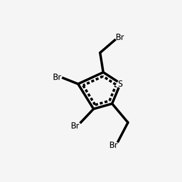 BrCc1sc(CBr)c(Br)c1Br